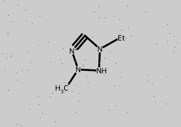 CCN1C#[N+]N(C)N1